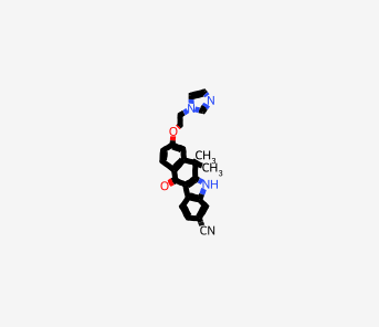 CC1(C)c2cc(OCCn3ccnc3)ccc2C(=O)c2c1[nH]c1cc(C#N)ccc21